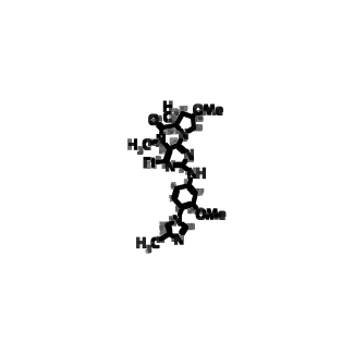 CCc1nc(Nc2ccc(-n3cnc(C)c3)c(OC)c2)nc2c1N(C)C(=O)[C@@]1(C)CC(OC)CN21